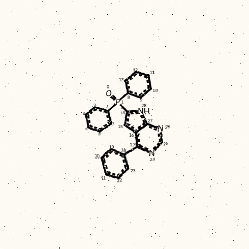 O=P(c1ccccc1)(c1ccccc1)c1cc2c(-c3ccccc3)ncnc2[nH]1